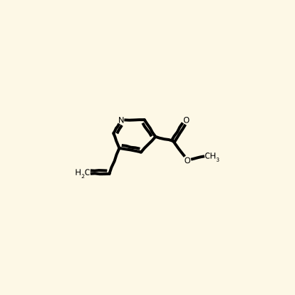 C=Cc1cncc(C(=O)OC)c1